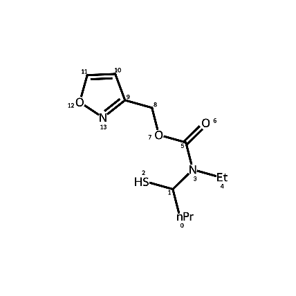 CCCC(S)N(CC)C(=O)OCc1ccon1